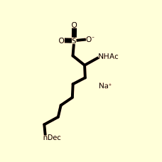 CCCCCCCCCCCCCCCCC(CS(=O)(=O)[O-])NC(C)=O.[Na+]